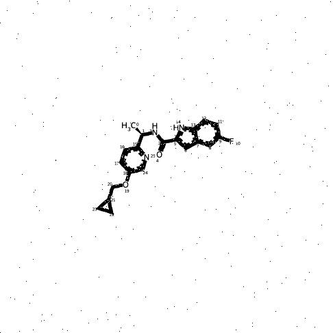 C[C@@H](NC(=O)c1cc2cc(F)ccc2[nH]1)c1ccc(OCC2CC2)cn1